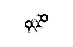 CN(C(=O)N(C)c1ccccc1Cl)c1ccccc1Cl